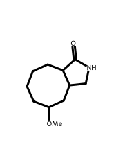 COC1CCCCC2C(=O)NCC2C1